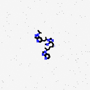 C=Nc1c(/C=C\CCC(C)n2cnc3ncccc32)ncn1C(C)Cc1cnc2cnn(C(C)C)c2c1